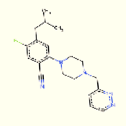 CC(C)Cc1cc(N2CCN(Cc3cccnn3)CC2)c(C#N)cc1F